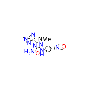 CNc1nc(Nc2ccc(C(C)(C)N3CCOCC3)cc2)c(C(N)=O)nc1-c1cncc2c1ncn2C